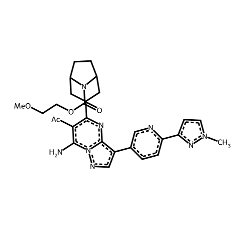 COCCOC(=O)N1C2CCC1CC(c1nc3c(-c4ccc(-c5ccn(C)n5)nc4)cnn3c(N)c1C(C)=O)C2